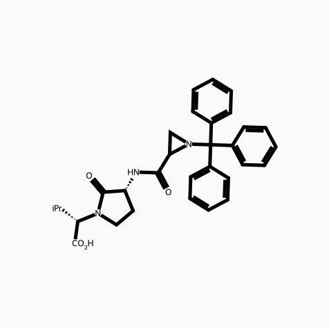 CC(C)[C@@H](C(=O)O)N1CC[C@@H](NC(=O)C2CN2C(c2ccccc2)(c2ccccc2)c2ccccc2)C1=O